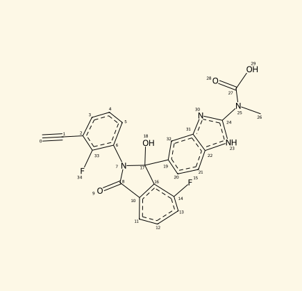 C#Cc1cccc(N2C(=O)c3cccc(F)c3C2(O)c2ccc3[nH]c(N(C)C(=O)O)nc3c2)c1F